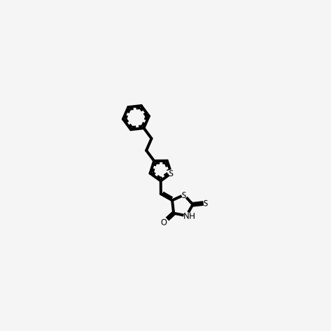 O=C1NC(=S)S/C1=C\c1cc(CCc2ccccc2)cs1